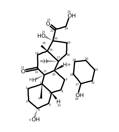 C[C@]12CC[C@@H](O)C[C@H]1CC[C@@H]1[C@@H]2C(=O)C[C@@]2(C)[C@H]1CC[C@]2(O)C(=O)CO.OC1CCCCC1